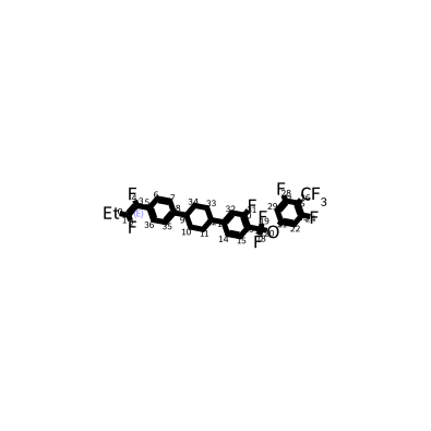 CC/C(F)=C(\F)c1ccc(C2CCC(c3ccc(C(F)(F)Oc4cc(F)c(C(F)(F)F)c(F)c4)c(F)c3)CC2)cc1